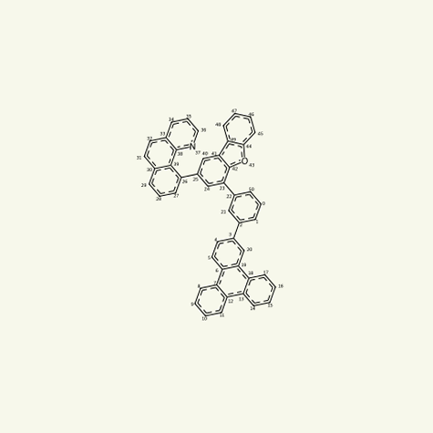 c1cc(-c2ccc3c4ccccc4c4ccccc4c3c2)cc(-c2cc(-c3cccc4ccc5cccnc5c34)cc3c2oc2ccccc23)c1